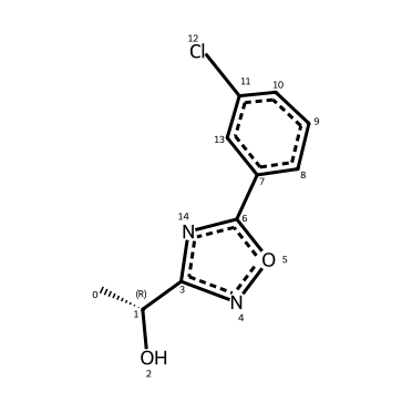 C[C@@H](O)c1noc(-c2cccc(Cl)c2)n1